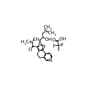 CN(C)CC(O)Cn1nc2c(c1C(=O)N(C)C)CCc1cnccc1-2.O=C(O)C(F)(F)F